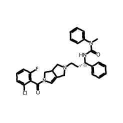 CN(C(=O)N[C@@H](CCN1CC2=CN(C(=O)c3c(F)cccc3Cl)CC2C1)c1ccccc1)c1ccccc1